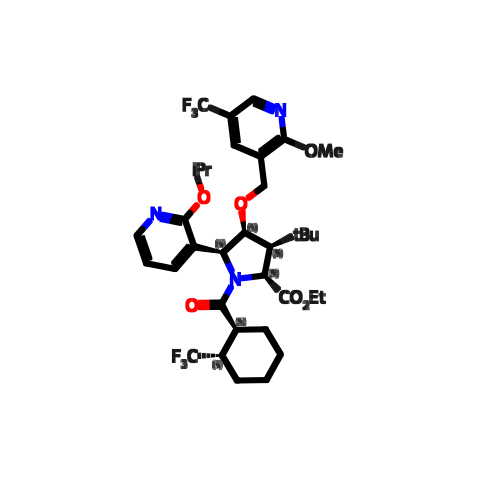 CCOC(=O)[C@@H]1[C@H](C(C)(C)C)[C@H](OCc2cc(C(F)(F)F)cnc2OC)[C@H](c2cccnc2OC(C)C)N1C(=O)[C@H]1CCCC[C@@H]1C(F)(F)F